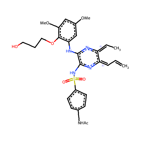 C=C/C=c1/nc(NS(=O)(=O)c2ccc(NC(C)=O)cc2)c(Nc2cc(OC)cc(OC)c2OCCCO)n/c1=C/C